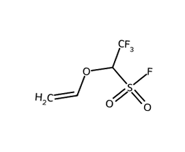 C=COC(C(F)(F)F)S(=O)(=O)F